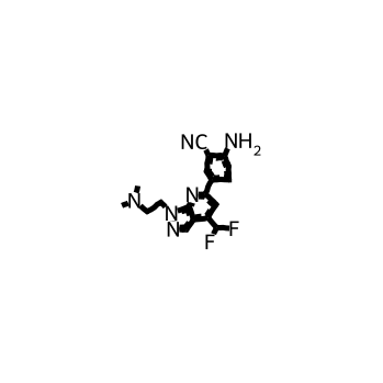 CN(C)CCn1ncc2c(C(F)F)cc(-c3ccc(N)c(C#N)c3)nc21